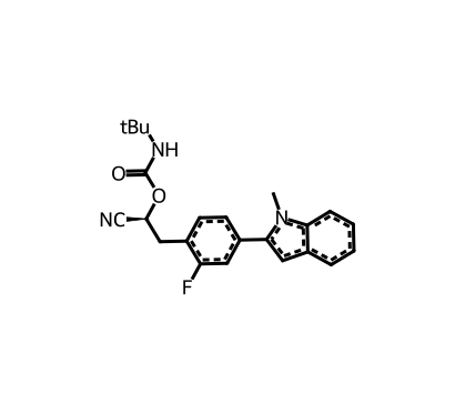 Cn1c(-c2ccc(C[C@@H](C#N)OC(=O)NC(C)(C)C)c(F)c2)cc2ccccc21